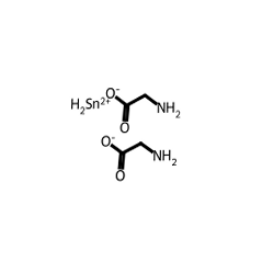 NCC(=O)[O-].NCC(=O)[O-].[SnH2+2]